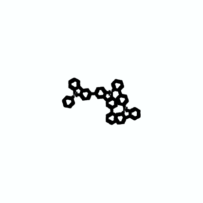 c1ccc(-c2ccc3c(c2)c2cc(-c4ccc5c(c4)c4ccccc4n5-c4ccccc4)ccc2n3-c2ccccc2-c2ccc(-n3c4ccccc4c4ccccc43)cc2)cc1